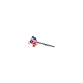 CCCCCCCCC=CCCCCCCCCN(Cc1ccc(C(C)(C)C)cc1)C(Nc1ccc(OC)cc1OC)=C1C(=O)OC(C)(C)OC1=O